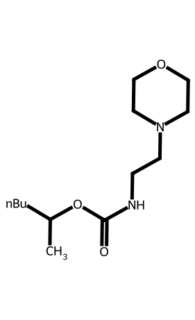 CCCCC(C)OC(=O)NCCN1CCOCC1